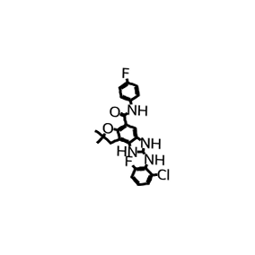 CC1(C)Cc2c3c(cc(C(=O)Nc4ccc(F)cc4)c2O1)NC(Nc1c(F)cccc1Cl)N3